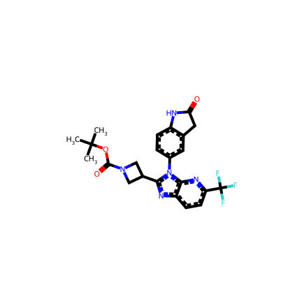 CC(C)(C)OC(=O)N1CC(c2nc3ccc(C(F)(F)F)nc3n2-c2ccc3c(c2)CC(=O)N3)C1